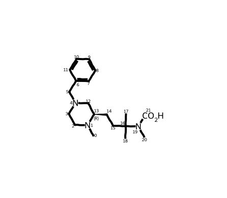 CN1CCN(Cc2ccccc2)C[C@H]1CCC(C)(C)N(C)C(=O)O